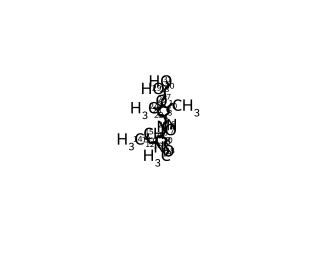 CCc1cc(-c2noc(-c3cc(CC(C)C)nc(OC)c3)n2)cc(C)c1OCC(O)CO